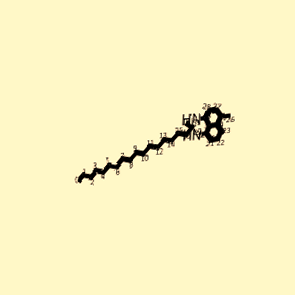 CCCCCCCCCCCCCCCCCC1(C)Nc2cccc3c(C)ccc(c23)N1